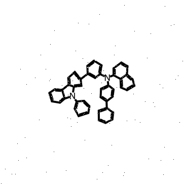 c1ccc(-c2ccc(N(c3cccc(-c4ccc5c6ccccc6n(-c6ccccc6)c5c4)c3)c3cccc4ccccc34)cc2)cc1